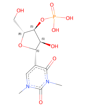 Cn1cc([C@@H]2O[C@H](CO)[C@@H](OP(=O)(O)O)[C@H]2O)c(=O)n(C)c1=O